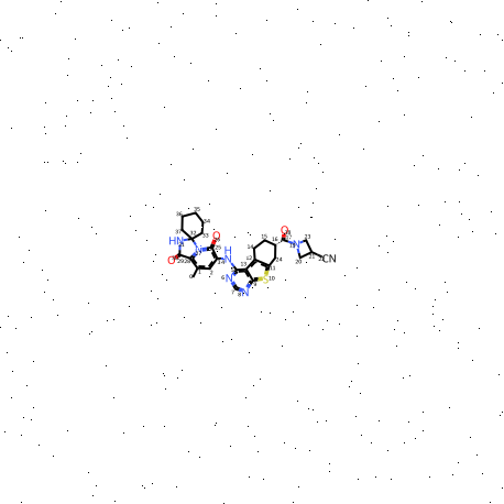 Cc1cc(Nc2ncnc3sc4c(c23)CC[C@H](C(=O)N2CC(C#N)C2)C4)c(=O)n2c1C(=O)NC21CCCCC1